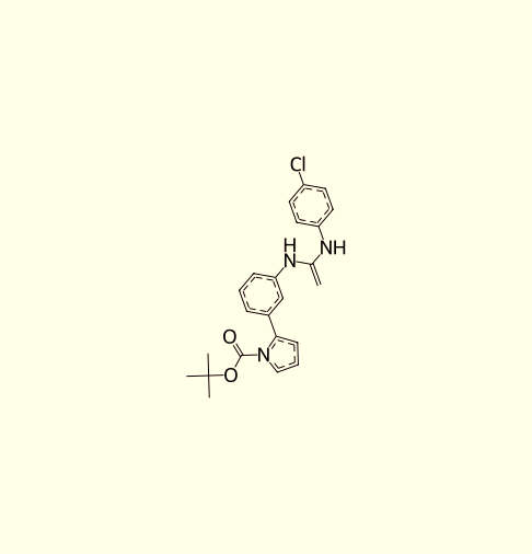 C=C(Nc1ccc(Cl)cc1)Nc1cccc(-c2cccn2C(=O)OC(C)(C)C)c1